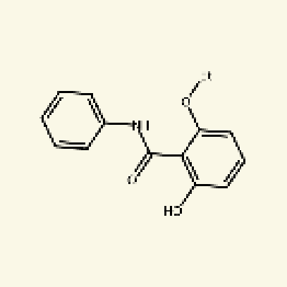 CCOc1cccc(O)c1C(=O)Nc1ccccc1